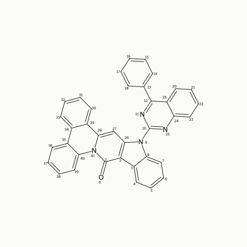 O=c1c2c3ccccc3n(-c3nc(-c4ccccc4)c4ccccc4n3)c2cc2c3ccccc3c3ccccc3n12